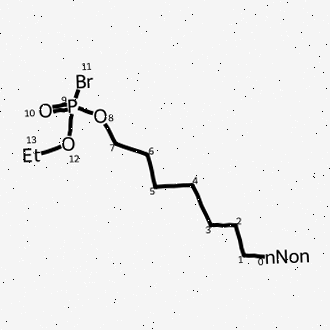 CCCCCCCCCCCCCCCCOP(=O)(Br)OCC